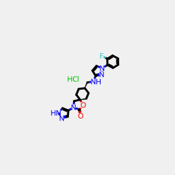 Cl.O=C1O[C@]2(CC[C@H](CNc3ccn(-c4ccccc4F)n3)CC2)CN1c1cn[nH]c1